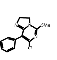 CSC1=NC(Cl)=C(c2ccccc2)C2=NCCN12